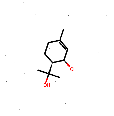 CC1=C[C@@H](O)[C@@H](C(C)(C)O)CC1